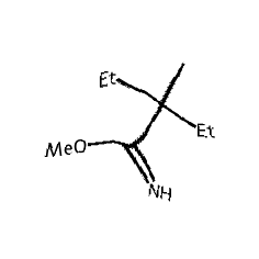 CCC(C)(CC)C(=N)OC